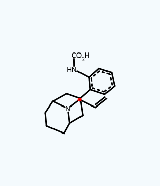 C=CCN1C2CCCC1CC(c1ccccc1NC(=O)O)C2